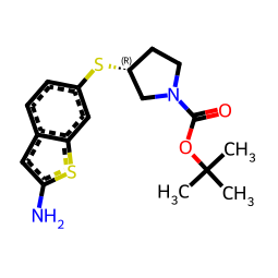 CC(C)(C)OC(=O)N1CC[C@@H](Sc2ccc3cc(N)sc3c2)C1